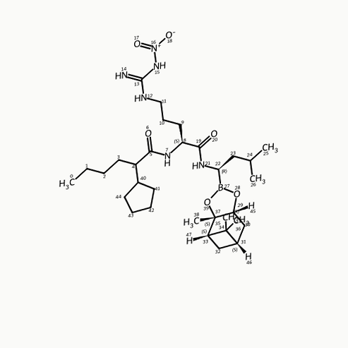 CCCCC(C(=O)N[C@@H](CCCNC(=N)N[N+](=O)[O-])C(=O)N[C@@H](CC(C)C)B1O[C@@H]2C[C@@H]3C[C@@H](C3(C)C)[C@]2(C)O1)C1CCCC1